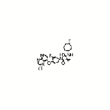 O=C(NC1C=C(F)C(Oc2ccnc3ncc(Cl)nc23)=CC1)C1(C(=O)NC2CCCC(F)CC2)CC1